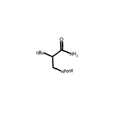 [CH2]CCCC(CCCCCC)C(N)=O